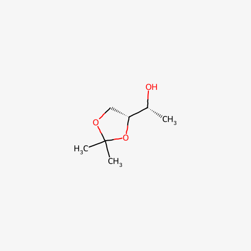 C[C@@H](O)[C@H]1COC(C)(C)O1